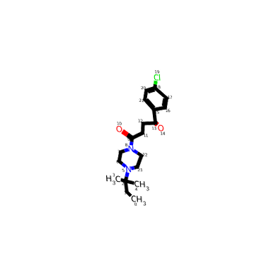 CCC(C)(C)N1CCN(C(=O)CCC(=O)c2ccc(Cl)cc2)CC1